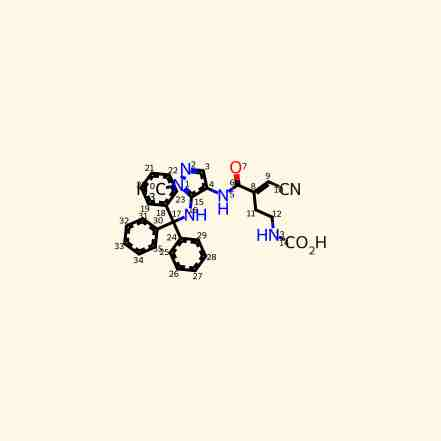 Cn1ncc(NC(=O)C(=CC#N)CCNC(=O)O)c1NC(c1ccccc1)(c1ccccc1)c1ccccc1